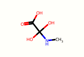 CNC(O)(O)C(=O)O